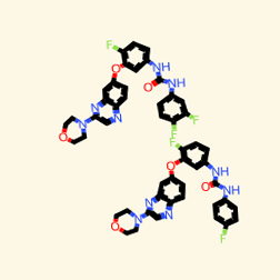 O=C(Nc1ccc(F)c(F)c1)Nc1ccc(F)c(Oc2ccc3ncc(N4CCOCC4)nc3c2)c1.O=C(Nc1ccc(F)cc1)Nc1ccc(F)c(Oc2ccc3ncc(N4CCOCC4)nc3c2)c1